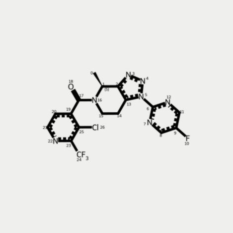 C[C@H]1c2nnn(-c3ncc(F)cn3)c2CCN1C(=O)c1ccnc(C(F)(F)F)c1Cl